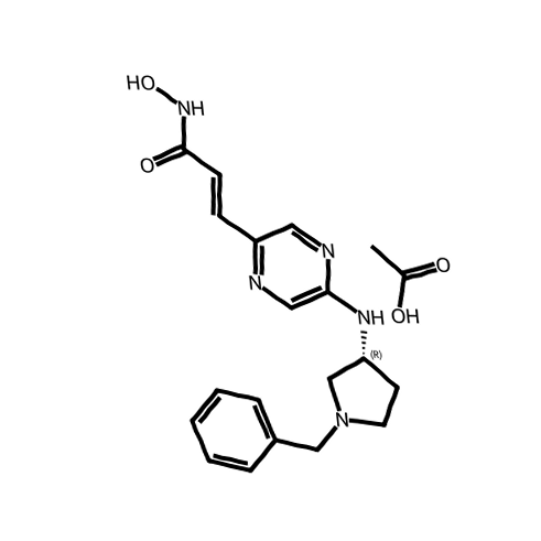 CC(=O)O.O=C(C=Cc1cnc(N[C@@H]2CCN(Cc3ccccc3)C2)cn1)NO